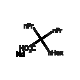 CCCCCCC(CCC)(CCC)C(=O)O.[Nd]